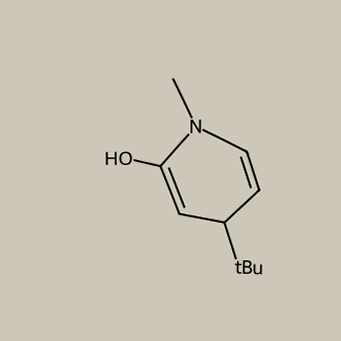 CN1C=CC(C(C)(C)C)C=C1O